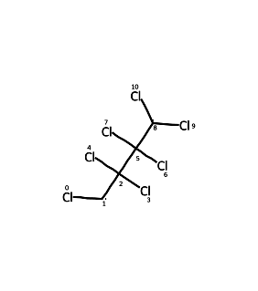 Cl[CH]C(Cl)(Cl)C(Cl)(Cl)[C](Cl)Cl